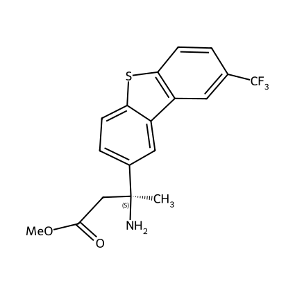 COC(=O)C[C@](C)(N)c1ccc2sc3ccc(C(F)(F)F)cc3c2c1